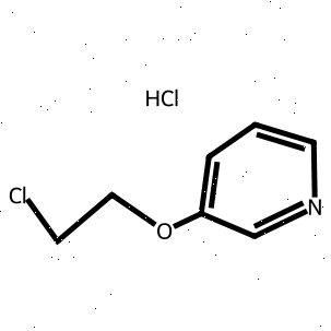 Cl.ClCCOc1cccnc1